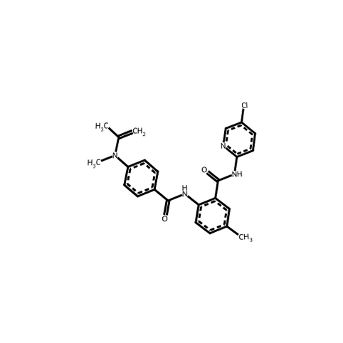 C=C(C)N(C)c1ccc(C(=O)Nc2ccc(C)cc2C(=O)Nc2ccc(Cl)cn2)cc1